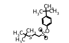 CC(C)(C)SCCS(=O)(=O)Oc1ccc(C(C)(C)C)cc1